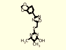 Cc1nc(SCc2nc(-c3ccc4c(c3)OCO4)no2)nc(O)c1C